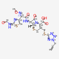 C#CCn1nnc(SCC2=C(C(=O)O)N3C(=O)C(NC(=O)/C(=N/OC)c4csc(NC=O)n4)[C@H]3SC2)n1